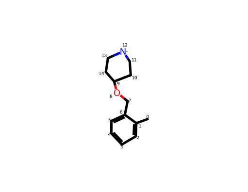 Cc1ccccc1COC1CC[N]CC1